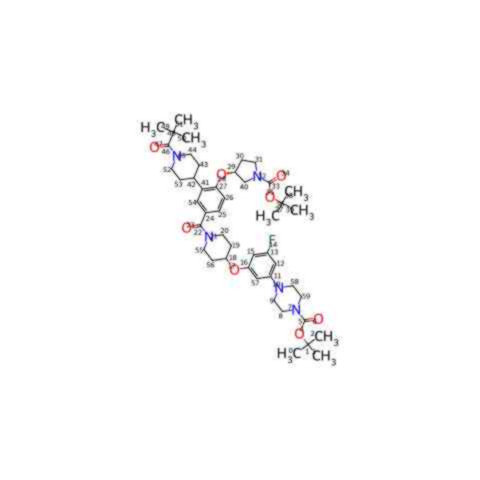 CC(C)(C)OC(=O)N1CCN(c2cc(F)cc(OC3CCN(C(=O)c4ccc(O[C@H]5CCN(C(=O)OC(C)(C)C)C5)c(C5CCN(C(=O)C(C)(C)C)CC5)c4)CC3)c2)CC1